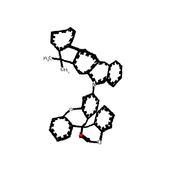 CC1(C)c2ccccc2-c2cc3c4ccccc4n(-c4ccc5c(c4)Oc4ccccc4C54c5ccccc5Oc5ccccc54)c3cc21